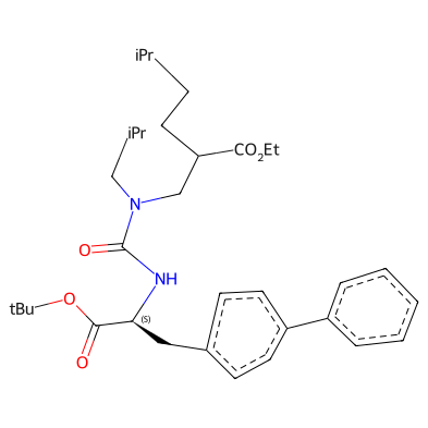 CCOC(=O)C(CCC(C)C)CN(CC(C)C)C(=O)N[C@@H](Cc1ccc(-c2ccccc2)cc1)C(=O)OC(C)(C)C